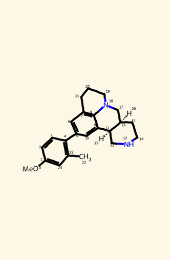 COc1ccc(-c2cc3c4c(c2)[C@@H]2CNCC[C@@H]2CN4CCC3)c(C)c1